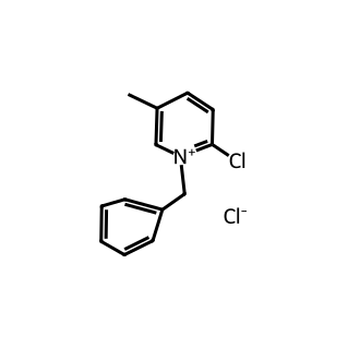 Cc1ccc(Cl)[n+](Cc2ccccc2)c1.[Cl-]